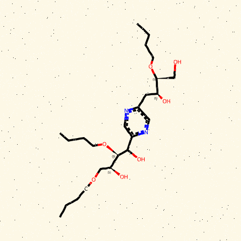 CCCCOC[C@H](O)[C@@H](OCCCC)C(O)c1cnc(C[C@H](O)[C@H](CO)OCCCC)cn1